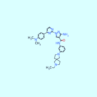 CCN1CCC2(CCN(c3cccc(NC(=O)c4cn(-c5nccc(-c6ccc(N(C)C)cc6)n5)nc4N)c3)C2)C1